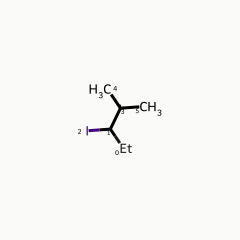 CCC(I)[C](C)C